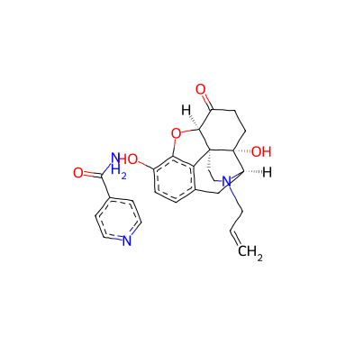 C=CCN1CC[C@]23c4c5ccc(O)c4O[C@H]2C(=O)CC[C@@]3(O)[C@H]1C5.NC(=O)c1ccncc1